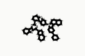 c1ccc(-c2ccc3c(c2)c2c4ccccc4ccc2n3-c2ccc3c(c2)oc2cccc(-c4nc(-c5ccc6ccccc6c5)c5sc6ccccc6c5n4)c23)cc1